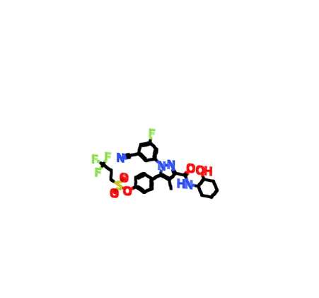 Cc1c(C(=O)NC2CCCCC2O)nn(-c2cc(F)cc(C#N)c2)c1-c1ccc(OS(=O)(=O)CCC(F)(F)F)cc1